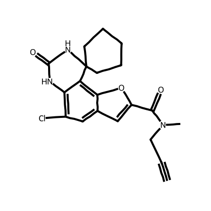 C#CCN(C)C(=O)c1cc2cc(Cl)c3c(c2o1)C1(CCCCC1)NC(=O)N3